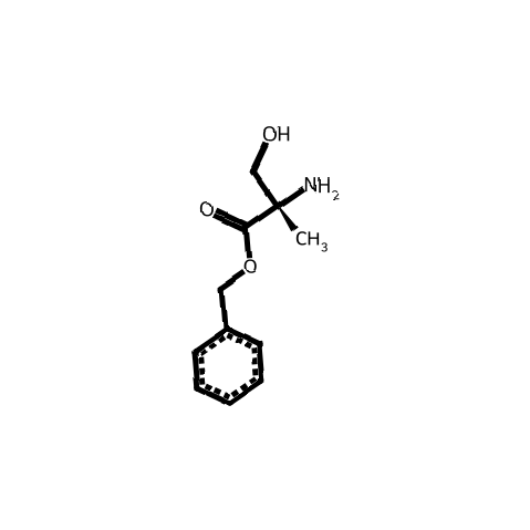 C[C@](N)(CO)C(=O)OCc1ccccc1